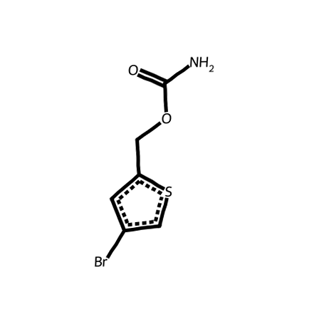 NC(=O)OCc1cc(Br)cs1